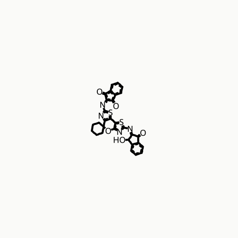 O=C1/C(=N/c2nc3c(s2)-c2sc(N=c4c(=O)c5ccccc5c4=O)nc2C2(CCCCC2)O3)C(O)c2ccccc21